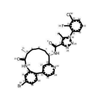 Cc1c(C(=O)N[C@H]2CCC[C@@H](C)C(=O)Nc3cc(Br)ccc3-c3ccnc2c3)nnn1-c1cccc(Cl)c1F